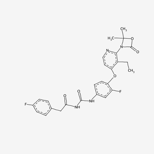 CCc1c(Oc2ccc(NC(=O)NC(=O)Cc3ccc(F)cc3)cc2F)ccnc1N1C(=O)OC1(C)C